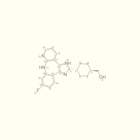 OC[C@H]1CC[C@H](c2nc3c([nH]2)-c2cccnc2Nc2cc(F)ccc2-3)CC1